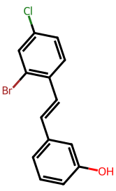 Oc1cccc(/C=C/c2ccc(Cl)cc2Br)c1